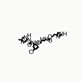 Cc1cnc(NC(=O)Nc2cc(Cl)ccc2OCCCNC(=O)OCCc2c[nH]cn2)cn1